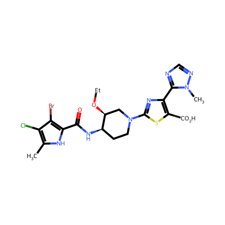 CCO[C@H]1CN(c2nc(-c3ncnn3C)c(C(=O)O)s2)CC[C@H]1NC(=O)c1[nH]c(C)c(Cl)c1Br